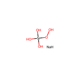 OO[Si](O)(O)O.[NaH]